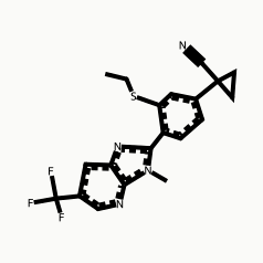 CCSc1cc(C2(C#N)CC2)ccc1-c1nc2cc(C(F)(F)F)cnc2n1C